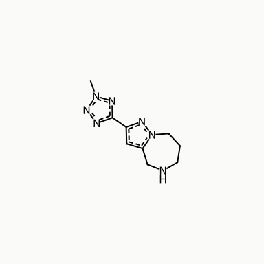 Cn1nnc(-c2cc3n(n2)CCCNC3)n1